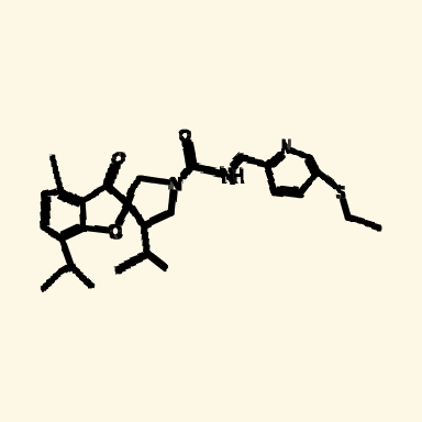 CCSc1ccc(CNC(=O)N2CC(C(C)C)C3(C2)Oc2c(C(C)C)ccc(C)c2C3=O)nc1